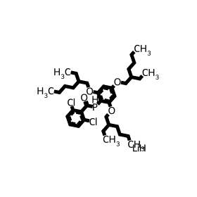 CCCCC(CC)COc1cc(OCC(CC)CCCC)c(PC(=O)c2c(Cl)cccc2Cl)c(OCC(CC)CCCC)c1.[LiH]